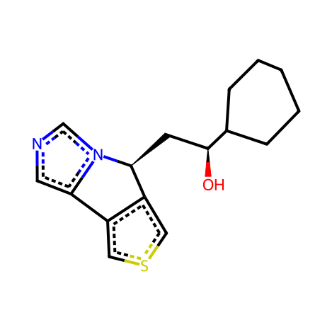 O[C@@H](C[C@H]1c2cscc2-c2cncn21)C1CCCCC1